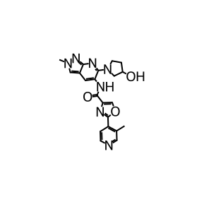 Cc1cnccc1-c1nc(C(=O)Nc2cc3cn(C)nc3nc2N2CCC(O)C2)co1